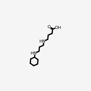 O=C(O)CCCNCCCNC1CCCCC1